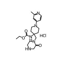 CCOC(=O)NC1(CN2CCNCC2=O)CCN(c2ccnc(C)c2)CC1.Cl